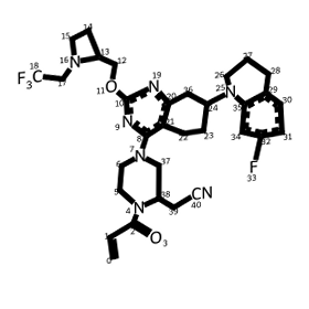 C=CC(=O)N1CCN(c2nc(OCC3CCN3CC(F)(F)F)nc3c2CCC(N2CCCc4ccc(F)cc42)C3)CC1CC#N